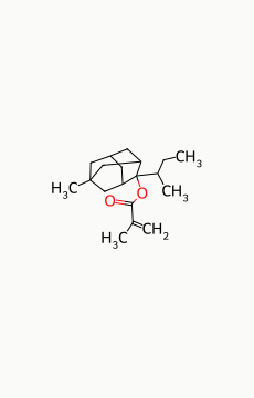 C=C(C)C(=O)OC1(C(C)CC)C2CC3CC1CC(C)(C3)C2